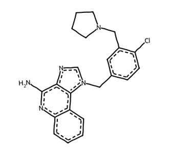 Nc1nc2ccccc2c2c1ncn2Cc1ccc(Cl)c(CN2CCCC2)c1